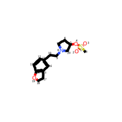 CS(=O)(=O)OC1CCN(CCc2ccc3c(c2)CCO3)C1